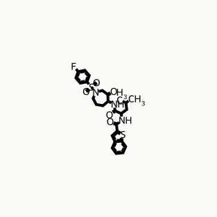 CC(C)CC(NC(=O)c1cc2ccccc2s1)C(=O)NC1CCCN(S(=O)(=O)c2ccc(F)cc2)CC1=O